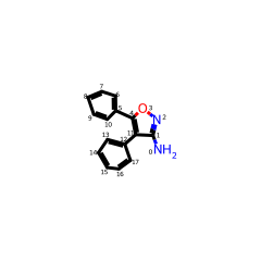 Nc1noc(-c2ccccc2)c1-c1ccccc1